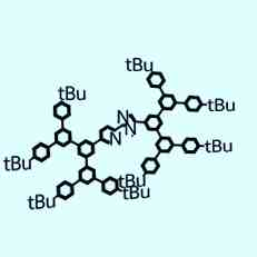 Cn1c(-c2cc(-c3cc(-c4ccc(C(C)(C)C)cc4)cc(-c4ccc(C(C)(C)C)cc4)c3)cc(-c3cc(-c4ccc(C(C)(C)C)cc4)cc(-c4ccc(C(C)(C)C)cc4)c3)c2)cnc1-c1ccc(-c2cc(-c3cc(-c4ccc(C(C)(C)C)cc4)cc(-c4ccc(C(C)(C)C)cc4)c3)cc(-c3cc(-c4ccc(C(C)(C)C)cc4)cc(-c4ccc(C(C)(C)C)cc4)c3)c2)cn1